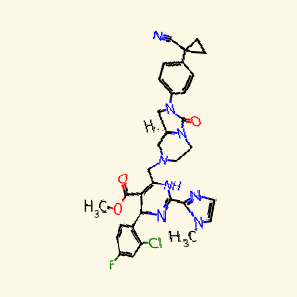 COC(=O)C1=C(CN2CCN3C(=O)N(c4ccc(C5(C#N)CC5)cc4)C[C@@H]3C2)NC(c2nccn2C)=N[C@H]1c1ccc(F)cc1Cl